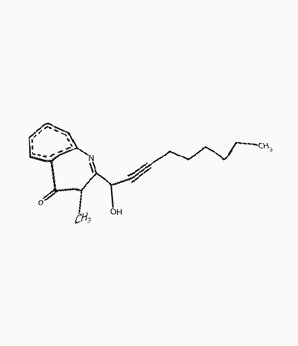 CCCCCCC#CC(O)C1=Nc2ccccc2C(=O)C1C